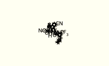 Cn1cnnc1-c1ccc(C#N)cc1-c1cc(NC[C@@H](O)CC#N)nc(N2Cc3c(cc(CN4CC5(CC5)C4)cc3C(F)(F)F)C2=O)c1